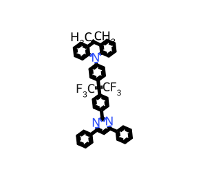 CC1(C)c2ccccc2N(c2ccc(C(c3ccc(-c4nc(-c5ccccc5)cc(-c5ccccc5)n4)cc3)(C(F)(F)F)C(F)(F)F)cc2)c2ccccc21